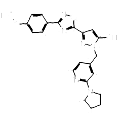 Cc1cc(-c2nc(-c3ccc(OC(F)(F)F)cc3)no2)nn1Cc1ccnc(N2CCCC2)c1